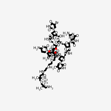 CSP(=O)(OC[C@H]1O[C@@H](n2c(=O)[nH]c3c(=O)[nH]c(N)nc32)CC1OP(=O)(S)OC[C@H]1O[C@@H](n2cc(C)c(=O)[nH]c2=O)CC1OP(=S)(OCCOCCOCCNC(=O)CC(C)(C)COCC(C)(C)CN)OC[C@H]1O[C@@H](n2ccc(N)nc2=O)CC1C(C)C)OC1C[C@H](n2ccc(N)nc2=O)O[C@@H]1COP(=O)(S)OC1C[C@H](n2cc(Br)c(=O)[nH]c2=O)O[C@@H]1CO